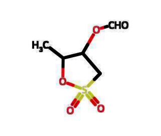 CC1OS(=O)(=O)CC1OC=O